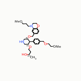 COCCCN1CCOc2ccc(CO[C@H]3CNC[C@@H](OCC[C@H](C)O)C3c3ccc(COCCOC)cc3)cc21